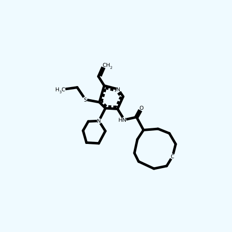 C=Cc1ncc(NC(=O)C2CCCCCCCCC2)c(N2CCCCC2)c1SCC